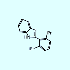 CC(C)c1cccc(C(C)C)c1-c1nc2ccccc2[nH]1